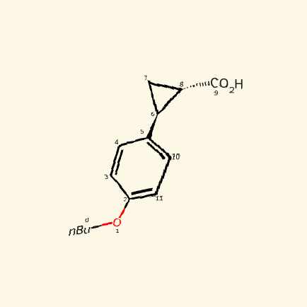 CCCCOc1ccc([C@H]2C[C@@H]2C(=O)O)cc1